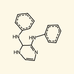 C1=CNC(Nc2ccccc2)C(Nc2ccccc2)=N1